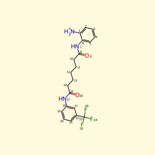 Nc1ccccc1NC(=O)CCCCCC(=O)Nc1cccc(C(F)(F)F)c1